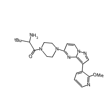 COc1ncccc1-c1cnn2ccc(N3CCN(C(=O)C(N)C(C)(C)C)CC3)nc12